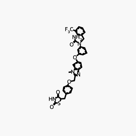 Cn1c(COc2ccc(CC3SC(=O)NC3=O)cc2)nc2ccc(Oc3cccc(N(Cc4cccc(C(F)(F)F)c4)C(N)=O)c3)cc21